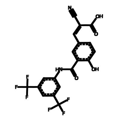 N#CC(=Cc1ccc(O)c(C(=O)Nc2cc(C(F)(F)F)cc(C(F)(F)F)c2)c1)C(=O)O